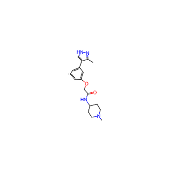 Cc1n[nH]cc1-c1c[c]cc(OCC(=O)NC2CCN(C)CC2)c1